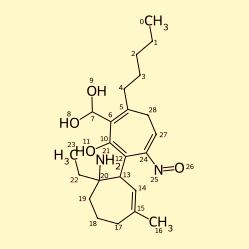 CCCCCC1=C(C(O)O)C(O)=C(C2C=C(C)CCCC2(N)CC)C(N=O)=CC1